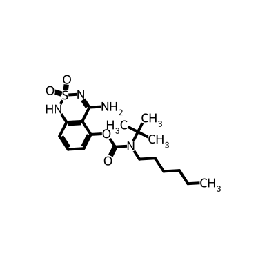 CCCCCCN(C(=O)Oc1cccc2c1C(N)=NS(=O)(=O)N2)C(C)(C)C